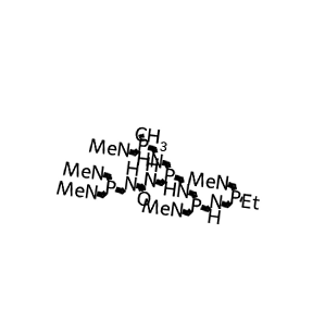 CCP(CNC)CNCP(CNC)CNCP(CNCP(C)CNC)CNC(=O)NCP(CNC)CNC